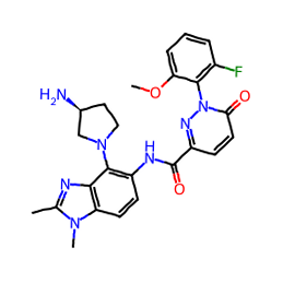 COc1cccc(F)c1-n1nc(C(=O)Nc2ccc3c(nc(C)n3C)c2N2CC[C@H](N)C2)ccc1=O